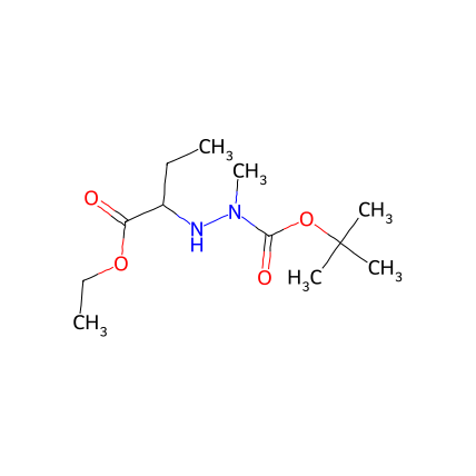 CCOC(=O)C(CC)NN(C)C(=O)OC(C)(C)C